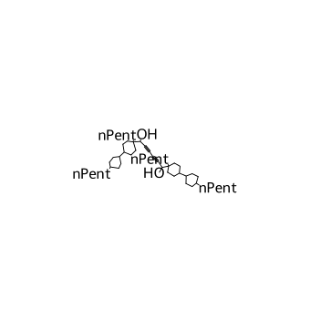 CCCCCC1CCC(C2CCC(CCCCC)(C(O)C#CC#CC(O)C3(CCCCC)CCC(C4CCC(CCCCC)CC4)CC3)CC2)CC1